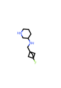 FC12CC(CNC3CCCNC3)(C1)C2